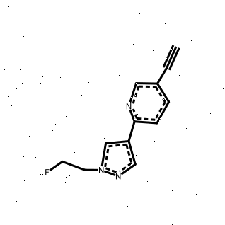 C#Cc1ccc(-c2cnn(CCF)c2)nc1